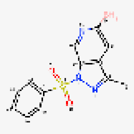 Bc1cc2c(C)nn(S(=O)(=O)c3ccccc3)c2cn1